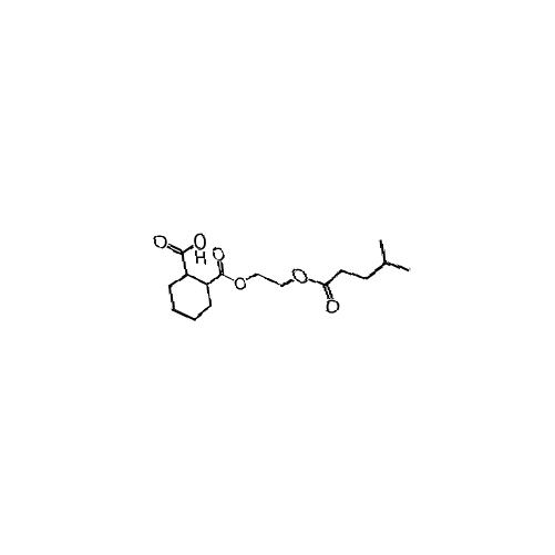 CC(C)CCC(=O)OCCOC(=O)C1CCCCC1C(=O)O